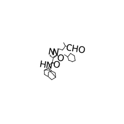 CC(C=O)CCn1ncc(C(=O)NC2C3CC4CC(C3)CC2C4)c1OCC1CCCCC1